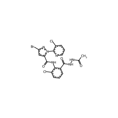 CC(=O)NNC(=O)c1cccc(Cl)c1NC(=O)c1cc(Br)nn1-c1ncccc1Cl